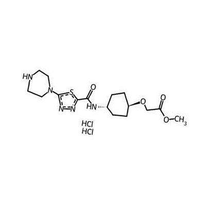 COC(=O)CO[C@H]1CC[C@H](NC(=O)c2nnc(N3CCNCC3)s2)CC1.Cl.Cl